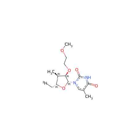 [2H]C[C@H]1O[C@@H](n2cc(C)c(=O)[nH]c2=O)[C@H](OCCOC)[C@@H]1C